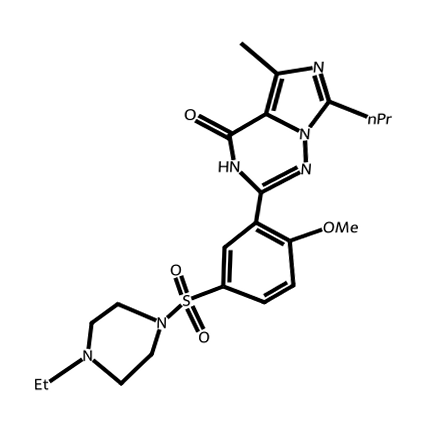 CCCc1nc(C)c2c(=O)[nH]c(-c3cc(S(=O)(=O)N4CCN(CC)CC4)ccc3OC)nn12